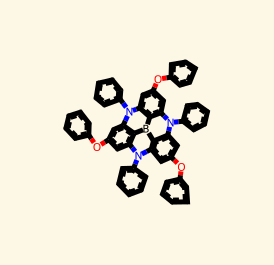 c1ccc(Oc2cc3c4c(c2)N(c2ccccc2)c2cc(Oc5ccccc5)cc5c2B4c2c(cc(Oc4ccccc4)cc2N5c2ccccc2)N3c2ccccc2)cc1